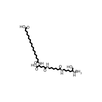 BNC(CO)CCCCNC(=O)CCCCCNC(=O)CCC(NC(=O)CCCCCCCCCCCCCCCCC(=O)O)C(=O)O